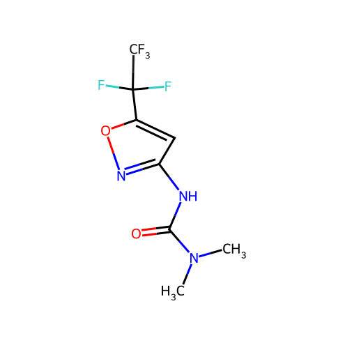 CN(C)C(=O)Nc1cc(C(F)(F)C(F)(F)F)on1